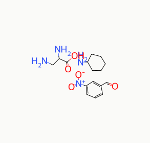 NC1CCCCC1.NCC(N)C(=O)O.O=Cc1cccc([N+](=O)[O-])c1